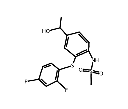 CC(O)c1ccc(NS(C)(=O)=O)c(Sc2ccc(F)cc2F)c1